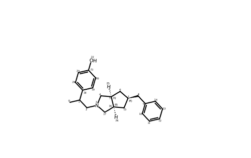 CC(CN1C[C@H]2C[C@@H](Cc3ccccc3)C[C@H]2C1)c1ccc(O)cc1